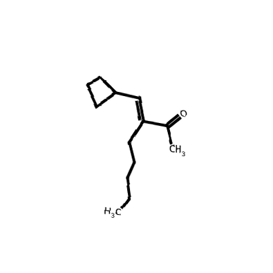 CCCCC/C(=C\C1CCC1)C(C)=O